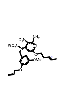 C=CCOc1cc(CN(C(=O)OCC)c2cc(OCC/C=C/C)nc(N)c2[N+](=O)[O-])cc(OC)c1